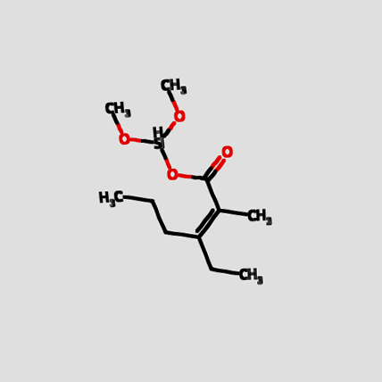 CCCC(CC)=C(C)C(=O)O[SiH](OC)OC